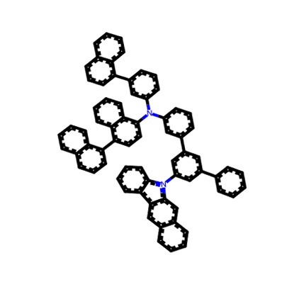 c1ccc(-c2cc(-c3cccc(N(c4cccc(-c5cccc6ccccc56)c4)c4ccc(-c5cccc6ccccc56)c5ccccc45)c3)cc(-n3c4ccccc4c4cc5ccccc5cc43)c2)cc1